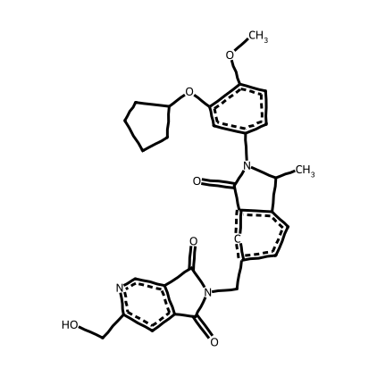 COc1ccc(N2C(=O)c3cc(CN4C(=O)c5cnc(CO)cc5C4=O)ccc3C2C)cc1OC1CCCC1